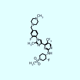 Cc1nc(-c2nc(N[C@H]3CCN(S(C)(=O)=O)C[C@H]3F)ncc2C(F)(F)F)cn1-c1ccc(CN2CCN(C)CC2)cc1F